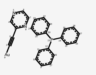 [Au][C]#Cc1cnccn1.c1ccc(P(c2ccccc2)c2ccccc2)cc1